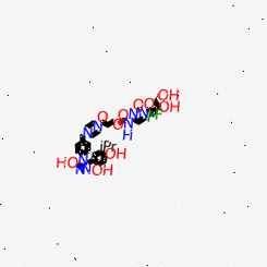 CC(C)c1cc(-c2nnc(O)n2-c2ccc(CN3CCN(C(=O)CCOC(=O)Nc4ccn([C@@H]5O[C@H](CO)[C@@H](O)C5(F)F)c(=O)n4)CC3)cc2)c(O)cc1O